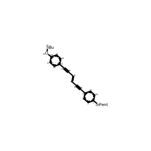 CCCCCc1ccc(C#C/C=C/C#Cc2ccc(OCCCC)cc2)cc1